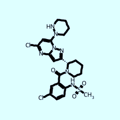 CS(=O)(=O)Nc1ccc(Cl)cc1C(=O)N1CCCC[C@H]1c1cc2nc(Cl)cc(N3CCCCN3)n2n1